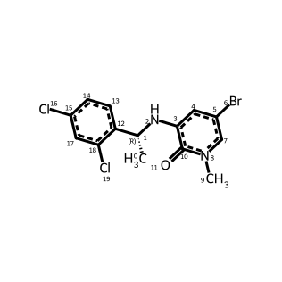 C[C@@H](Nc1cc(Br)cn(C)c1=O)c1ccc(Cl)cc1Cl